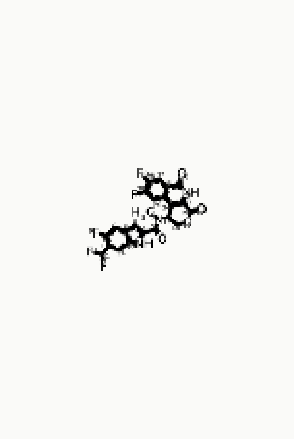 CN(C(=O)c1cc2cc(F)c(C(F)F)cc2[nH]1)[C@@H]1COC(=O)c2[nH]c(=O)c3cc(F)c(F)cc3c21